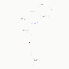 CC(=O)COC(=O)Cc1ccccc1Nc1c(Cl)cccc1Cl